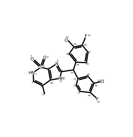 CC1=CNS(=O)(=O)c2nc(C(c3ccc(F)c(Cl)c3)c3ccc(F)c(Cl)c3)[nH]c21